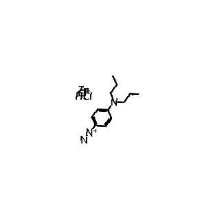 CCCN(CCC)c1ccc([N+]#N)cc1.Cl.[Cl-].[Zn]